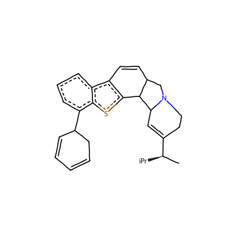 CC(C)[C@H](C)C1=CC2C3c4sc5c(C6C=CC=CC6)cccc5c4C=CC3CN2CC1